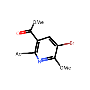 COC(=O)c1cc(Br)c(OC)nc1C(C)=O